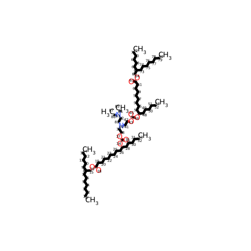 CCCCCCCCC(CCCCCC)COC(=O)CCCCCCCCC(CCCCCC)OC(=O)OCCN(CCOC(=O)OC(CCCCCC)CCCCCCCCC(=O)OCC(CCCCCC)CCCCCCCC)CCN(CC)CC